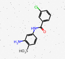 Nc1cc(NC(=O)c2cccc(Cl)c2)ccc1S(=O)(=O)O